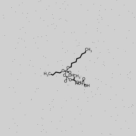 CCCCCCCCOP(=O)(OCCCC)OP(=O)(O)OC(C)C.[O]=[Ti]([OH])[OH]